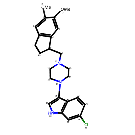 COc1cc2c(cc1OC)C(CN1CCN(c3c[nH]c4cc(Cl)ccc34)CC1)CC2